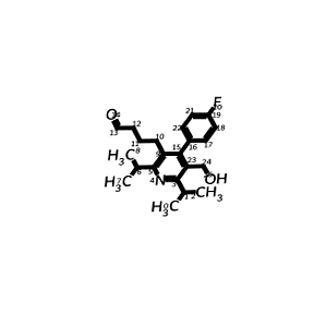 CC(C)c1nc(C(C)C)c(CCCC=O)c(-c2ccc(F)cc2)c1CO